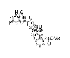 COC(=O)CN1CCCc2ccc(S(=O)(=O)NC3CCC(C(=O)N[C@H](C)c4ccc(F)cc4)CC3)cc21